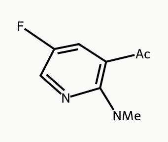 CNc1ncc(F)cc1C(C)=O